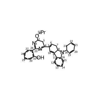 CC(C)OC1CC(C2=CCC3C(=C2)c2ccccc2N3C2C=CC=CC2)=NC(c2ccccc2O)=N1